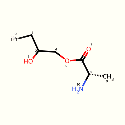 CC(C)CC(O)COC(=O)[C@H](C)N